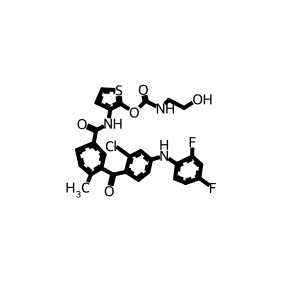 Cc1ccc(C(=O)Nc2ccsc2OC(=O)NCCO)cc1C(=O)c1ccc(Nc2ccc(F)cc2F)cc1Cl